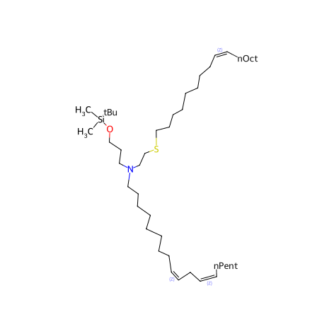 CCCCC/C=C\C/C=C\CCCCCCCCN(CCCO[Si](C)(C)C(C)(C)C)CCSCCCCCCCC/C=C\CCCCCCCC